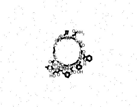 CC(=O)N[C@@H](CC(C)C)C(=O)N[C@H](C(=O)C(=O)[C@H](Cc1ccccc1)NN[C@]1(C)CCCCCC/C=C/CCC[C@@](C)(C=O)NC(=O)[C@H](CC2CCC2)NN[C@@H](CCC(N)=O)C(=O)CN[C@@H](C)C(=O)CC(=O)[C@H](Cc2c[nH]c3ccccc23)NN[C@@H](Cc2ccc(O)cc2)C(=O)C(=O)[C@H](CCC(=O)O)NC1=O)[C@@H](C)O